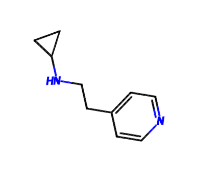 c1cc(CCNC2CC2)ccn1